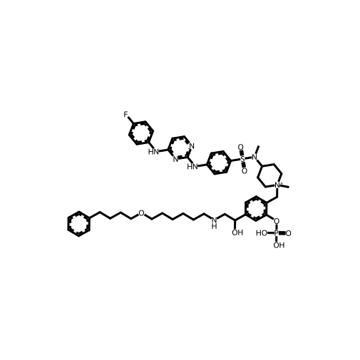 CN(C1CC[N+](C)(Cc2ccc(C(O)CNCCCCCCOCCCCc3ccccc3)cc2OP(=O)(O)O)CC1)S(=O)(=O)c1ccc(Nc2nccc(Nc3ccc(F)cc3)n2)cc1